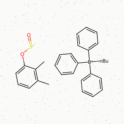 CCCC[B-](c1ccccc1)(c1ccccc1)c1ccccc1.Cc1cccc(O[S+]=O)c1C